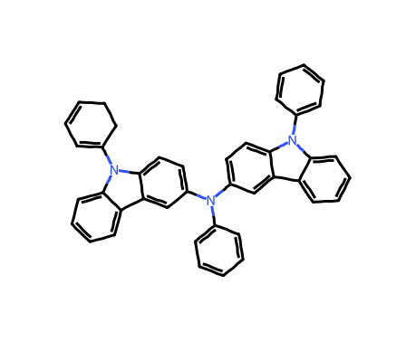 C1=CCCC(n2c3ccccc3c3cc(N(c4ccccc4)c4ccc5c(c4)c4ccccc4n5-c4ccccc4)ccc32)=C1